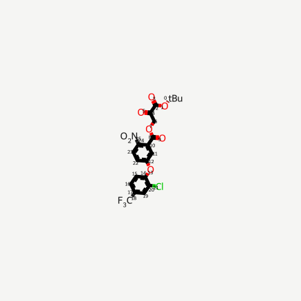 CC(C)(C)OC(=O)C(=O)COC(=O)c1cc(Oc2ccc(C(F)(F)F)cc2Cl)ccc1[N+](=O)[O-]